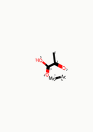 CC(=O)C(=O)O.C[C](=O)[Mo]